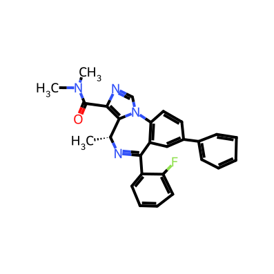 C[C@H]1N=C(c2ccccc2F)c2cc(-c3ccccc3)ccc2-n2cnc(C(=O)N(C)C)c21